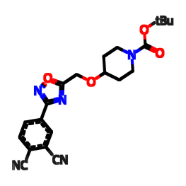 CC(C)(C)OC(=O)N1CCC(OCc2nc(-c3ccc(C#N)c(C#N)c3)no2)CC1